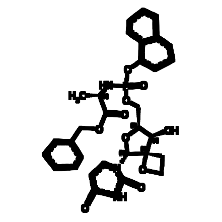 C[C@H](NP(=O)(OC[C@H]1O[C@@H](n2ccc(=O)[nH]c2=O)[C@@]2(CCO2)[C@@H]1O)Oc1cccc2ccccc12)C(=O)OCc1ccccc1